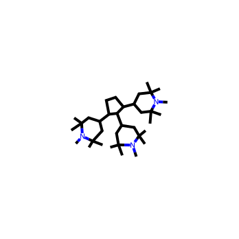 CN1C(C)(C)CC(C2CCC(C3CC(C)(C)N(C)C(C)(C)C3)C2C2CC(C)(C)N(C)C(C)(C)C2)CC1(C)C